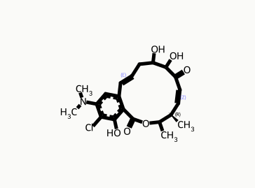 CC1OC(=O)c2c(cc(N(C)C)c(Cl)c2O)/C=C/CC(O)C(O)C(=O)/C=C\[C@H]1C